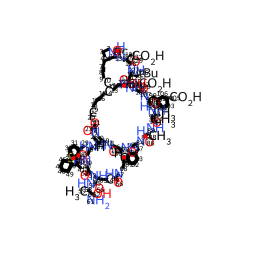 CC(=O)N1CCC[C@]12C/C=C\CCC[C@]1(CCC/C=C\CCCOC(=O)N3CC4N[C@@H](Cc5ccccc5Br)C(=O)N[C@@H](Cc5csc6ccccc56)C(=O)N[C@H](C(=O)N[C@@H](C)C(N)O)CCC(=O)NCCCC[C@H](NC(=O)[C@H](Cc5ccccc5)NC(=O)[C@H](C)NC(=O)C(C)(C)NC(=O)[C@H](Cc5cccc(C(=O)O)c5)NC(=O)[C@H](CC(=O)O)NC1=O)C(=O)N[C@@H]4C3)NC(O)[C@H](CC(C)(C)C)NC(=O)[C@H](CC(=O)O)NC2=O